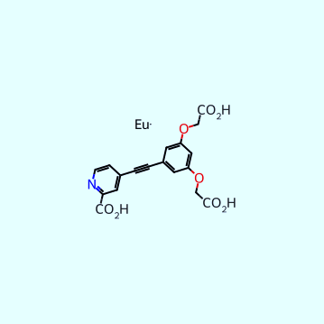 O=C(O)COc1cc(C#Cc2ccnc(C(=O)O)c2)cc(OCC(=O)O)c1.[Eu]